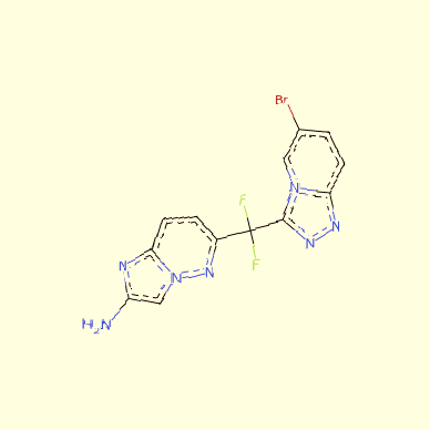 Nc1cn2nc(C(F)(F)c3nnc4ccc(Br)cn34)ccc2n1